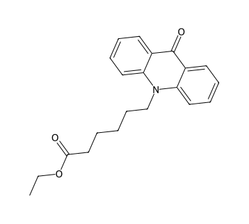 CCOC(=O)CCCCCn1c2ccccc2c(=O)c2ccccc21